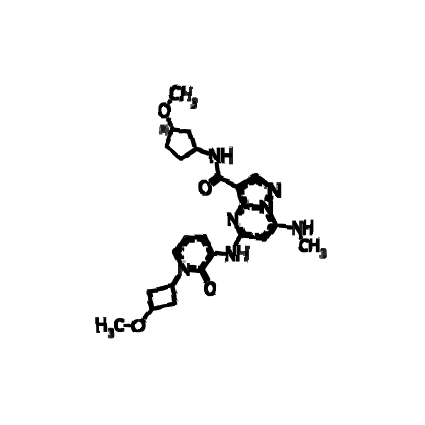 CNc1cc(Nc2cccn(C3CC(OC)C3)c2=O)nc2c(C(=O)NC3CC[C@@H](OC)C3)cnn12